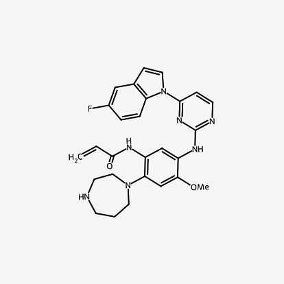 C=CC(=O)Nc1cc(Nc2nccc(-n3ccc4cc(F)ccc43)n2)c(OC)cc1N1CCCNCC1